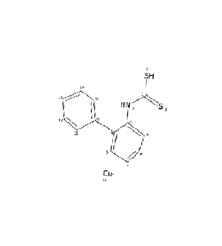 S=C(S)Nc1ccccc1-c1ccccc1.[Cu]